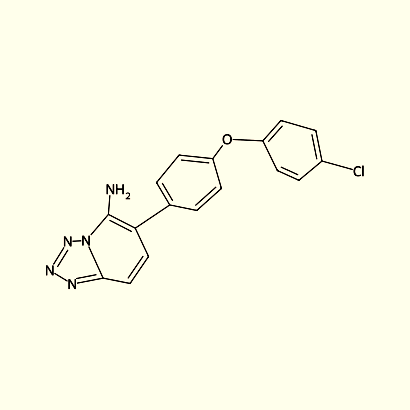 Nc1c(-c2ccc(Oc3ccc(Cl)cc3)cc2)ccc2nnnn12